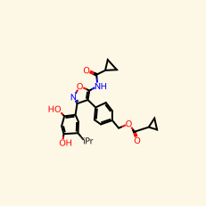 CC(C)c1cc(-c2noc(NC(=O)C3CC3)c2-c2ccc(COC(=O)C3CC3)cc2)c(O)cc1O